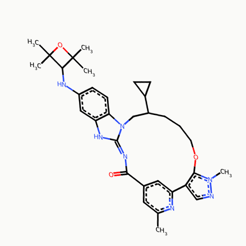 Cc1cc2cc(n1)-c1cnn(C)c1OCCCC(C1CC1)CN1/C(=N/C2=O)Nc2cc(NC3C(C)(C)OC3(C)C)ccc21